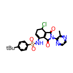 Cc1nccnc1N1C(=O)C2=C(C1=O)C(Cl)CC=C2NS(=O)(=O)c1ccc(C(C)(C)C)cc1